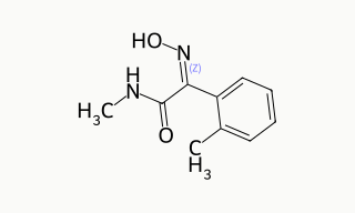 CNC(=O)/C(=N\O)c1ccccc1C